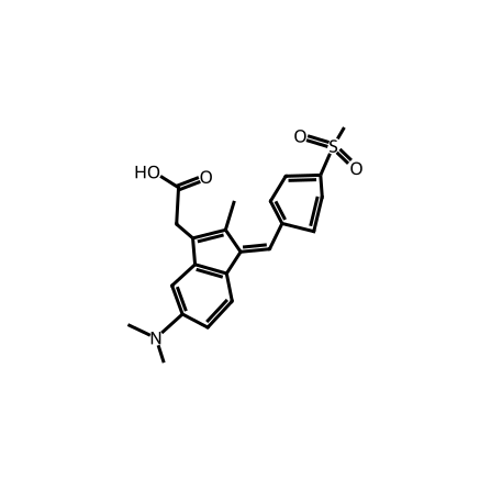 CC1=C(CC(=O)O)c2cc(N(C)C)ccc2/C1=C/c1ccc(S(C)(=O)=O)cc1